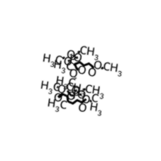 CCOC(=O)C(CC(C)CC(=O)OC)P(=O)(OCC)OCC.CCOC(=O)CCCC(C)(C(=O)OCC)P(=O)(OCC)OCC